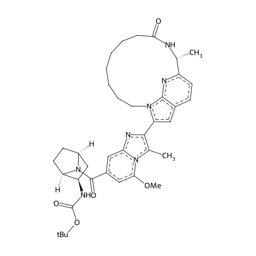 COc1cc(C(=O)N2[C@H]3CC[C@@H]2[C@H](NC(=O)OC(C)(C)C)C3)cc2nc(-c3cc4ccc5nc4n3CCCCCCCC(=O)N[C@@H]5C)c(C)n12